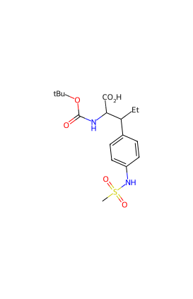 CCC(c1ccc(NS(C)(=O)=O)cc1)C(NC(=O)OC(C)(C)C)C(=O)O